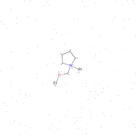 CCOC[N+]1(C(C)C)CCCC1